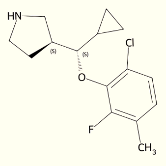 Cc1ccc(Cl)c(O[C@@H](C2CC2)[C@H]2CCNC2)c1F